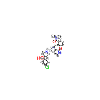 CCN(CC)C(=O)c1cccc2c1C/C(=C/CCN1CCC(O)(c3ccc(Cl)cc3)CC1)c1cccnc1O2